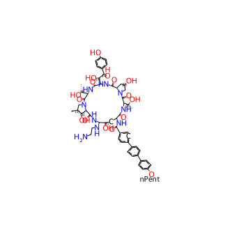 CCCCCOc1ccc(-c2ccc(-c3ccc(C(=O)NC4C[C@@H](O)C(NCCN)NC(=O)C5[C@@H](O)[C@@H](C)CN5C(=O)C([C@@H](C)O)NC(=O)C([C@H](O)[C@@H](O)c5ccc(O)cc5)NC(=O)C5C[C@@H](O)CN5C(=O)C([C@@H](C)O)NC4=O)cc3)cc2)cc1